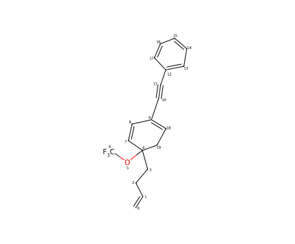 C=CCCC1(OC(F)(F)F)C=CC(C#Cc2ccccc2)=CC1